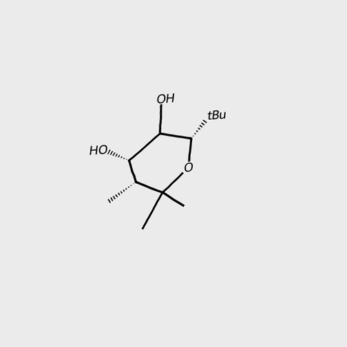 C[C@@H]1[C@H](O)C(O)[C@H](C(C)(C)C)OC1(C)C